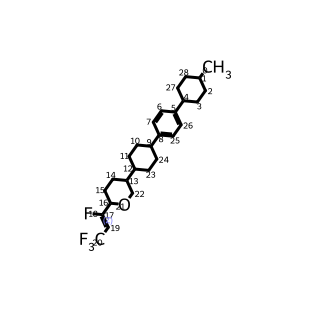 CC1CCC(c2ccc(C3CCC(C4CCC(/C(F)=C/C(F)(F)F)OC4)CC3)cc2)CC1